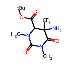 CN1C(=O)N(C)C(C(=O)OC(C)(C)C)C(N)(C(F)(F)F)C1=O